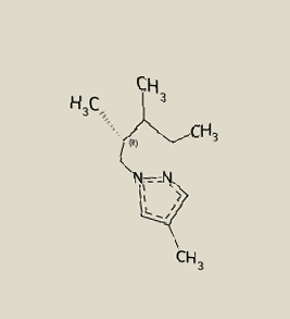 CCC(C)[C@@H](C)Cn1cc(C)cn1